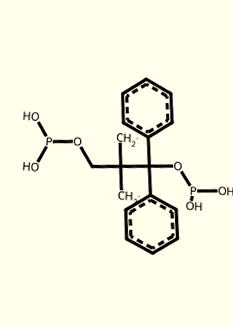 [CH2]C([CH2])(COP(O)O)C(OP(O)O)(c1ccccc1)c1ccccc1